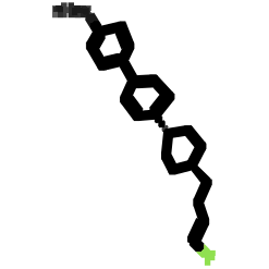 CCCCCCc1ccc(-c2ccc([C@H]3CC[C@H](CC/C=C/F)CC3)cc2)cc1